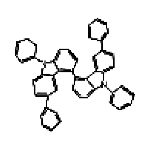 C1=CCCC(n2c3ccc(-c4ccccc4)cc3c3c(-c4cccc5c4c4cc(-c6ccccc6)ccc4n5-c4ccccc4)cccc32)=C1